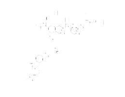 C=CC(=O)Nc1cc(N2CC(C3CN(c4ccc5c(c4)C(=O)N(C4CCC(=O)NC4=O)C5=O)CCS3(=O)=O)C2)c2cnc(Nc3ccnc(N4CC[C@@H](OC)[C@@H](F)C4)n3)cc2c1C(C)C